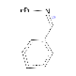 CCC/N=C\c1ccccc1